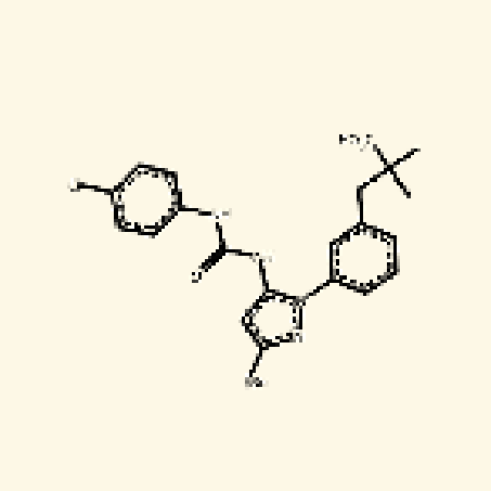 CC(C)(Cc1cccc(-n2nc(C(C)(C)C)cc2NC(=O)Nc2ccc(Cl)cc2)c1)C(=O)O